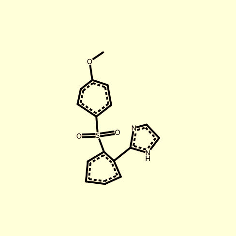 COc1ccc(S(=O)(=O)c2ccccc2-c2ncc[nH]2)cc1